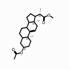 COC(=O)[C@@H](C)C1CCC2C3CCC4C[C@H](OC(C)=O)CC[C@]4(C)C3=CC[C@@]21C